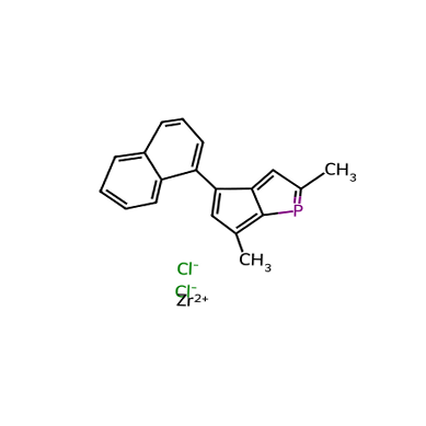 CC1=PC2=C(C)C=C(c3cccc4ccccc34)C2=C1.[Cl-].[Cl-].[Zr+2]